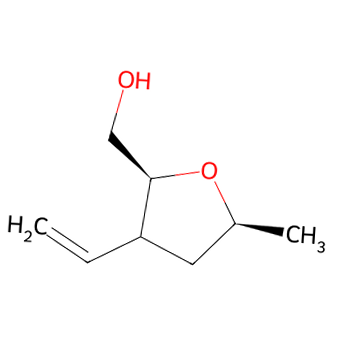 C=CC1C[C@H](C)O[C@@H]1CO